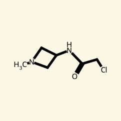 CN1CC(NC(=O)CCl)C1